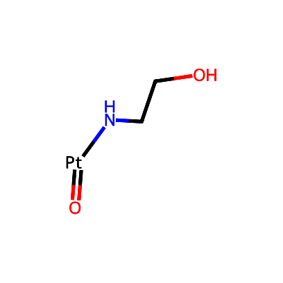 [O]=[Pt][NH]CCO